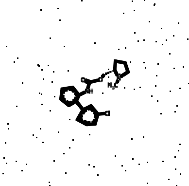 CN1CCC[C@H]1COC(=O)Nc1ccccc1-c1cccc(Cl)c1